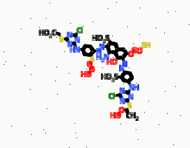 C=C(OO)Sc1nc(Cl)nc(Nc2ccc(N=Nc3c(OOOS)cc4cc(S(=O)(=O)O)c(N=Nc5ccc(Nc6nc(Cl)nc(SCC(=O)O)n6)cc5SOOO)c(N)c4c3O)c(S(=O)(=O)O)c2)n1